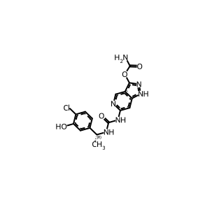 C[C@@H](NC(=O)Nc1cc2[nH]nc(OC(N)=O)c2cn1)c1ccc(Cl)c(O)c1